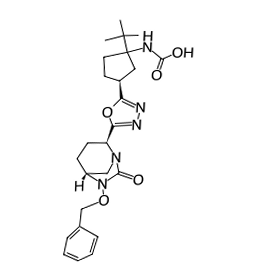 CC(C)(C)C1(NC(=O)O)CC[C@H](c2nnc([C@@H]3CC[C@@H]4CN3C(=O)N4OCc3ccccc3)o2)C1